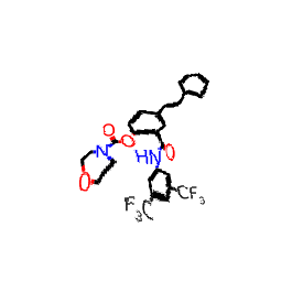 O=C(Nc1cc(C(F)(F)F)cc(C(F)(F)F)c1)c1cc(C=Cc2ccccc2)ccc1OC(=O)N1CCOCC1